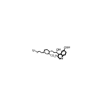 CCSCCN1CC[C@@H](CC[C@H](O)c2ccnc3ccc(OC)cc23)[C@@H](C(=O)O)C1